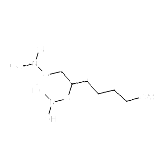 COCCCCC(CON(O)O)ON(O)O